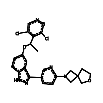 CC(Oc1ccc2[nH]nc(-c3ccc(N4CC5(CCOC5)C4)nc3)c2c1)c1c(Cl)cnnc1Cl